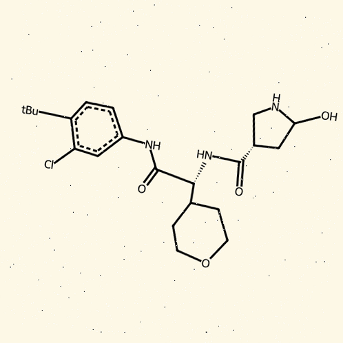 CC(C)(C)c1ccc(NC(=O)[C@H](NC(=O)[C@@H]2CNC(O)C2)C2CCOCC2)cc1Cl